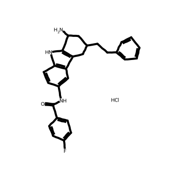 Cl.NC1CC(CCc2ccccc2)Cc2c1[nH]c1ccc(NC(=O)c3ccc(F)cc3)cc21